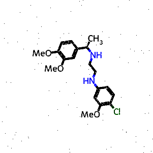 COc1cc(NCCN[C@H](C)c2ccc(OC)c(OC)c2)ccc1Cl